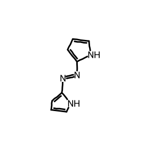 c1c[nH]c(/N=N/c2ccc[nH]2)c1